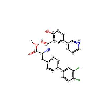 COC(=O)[C@H](Cc1ccc(-c2ccc(F)c(F)c2)cc1)NC(=O)c1cc(-c2cccnc2)ccc1O